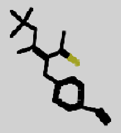 C#Cc1ccc(C/C(C(C)=S)=C(\C)CC(C)(C)C)cc1